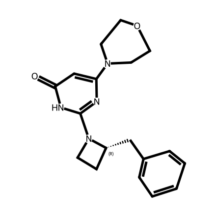 O=c1cc(N2CCOCC2)nc(N2CC[C@H]2Cc2ccccc2)[nH]1